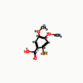 COc1cc(S)c(C(=O)O)cc1OC